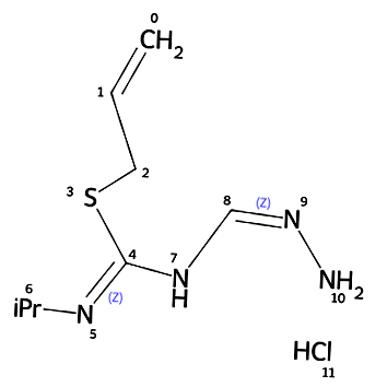 C=CCS/C(=N\C(C)C)N/C=N\N.Cl